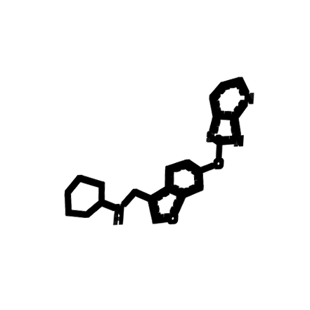 c1cnc2nc(Oc3ccc4c(CNC5CCCCC5)coc4c3)sc2c1